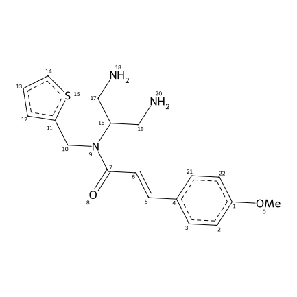 COc1ccc(/C=C/C(=O)N(Cc2cccs2)C(CN)CN)cc1